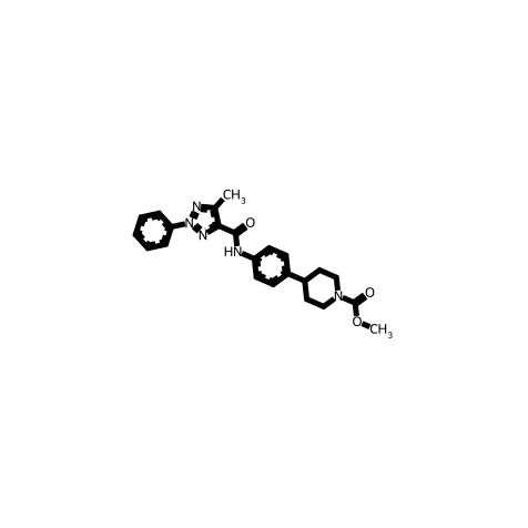 COC(=O)N1CCC(c2ccc(NC(=O)c3nn(-c4ccccc4)nc3C)cc2)CC1